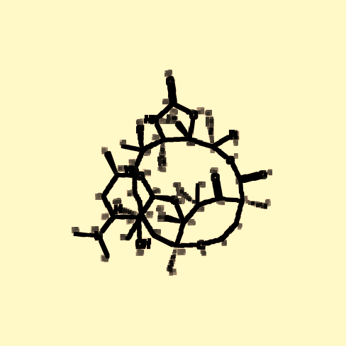 CC[C@H]1OC(=O)[C@@]2(C)CCO[C@@](C)(C[C@@H](C)CN[C@H](C)[C@H]3NC(=O)O[C@@]31CC)[C@H](O[C@@H]1O[C@H](C)CC(N(C)C)C1O)[C@@H](C)C2=O